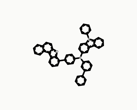 c1ccc(-c2cccc(N(c3ccc(-c4cccc5c4oc4ccc6ccccc6c45)cc3)c3ccc4c(c3)c3ccccc3n4-c3ccccc3)c2)cc1